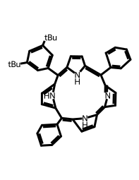 CC(C)(C)c1cc(-c2c3ccc([nH]3)c(-c3ccccc3)c3nc(c4ccc([nH]4)c(-c4ccccc4)c4ccc2[nH]4)C=C3)cc(C(C)(C)C)c1